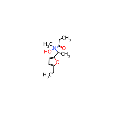 CCC(=O)[N+](C)(O)C(C)c1ccc(CC)o1